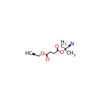 C#CCOC(=O)CCC(=O)OC(C)(C)C#N